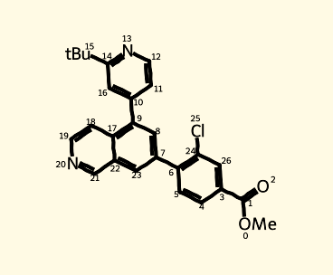 COC(=O)c1ccc(-c2cc(-c3ccnc(C(C)(C)C)c3)c3ccncc3c2)c(Cl)c1